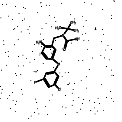 CC(C)(C)N(Cc1cc(Oc2cc(F)cc(Cl)c2)ccc1N)C(=O)O